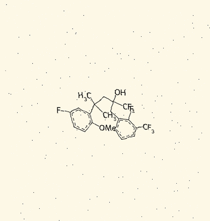 COc1ccc(F)cc1C(C)(C)CC(O)(Cc1cccc(C(F)(F)F)c1F)C(F)(F)F